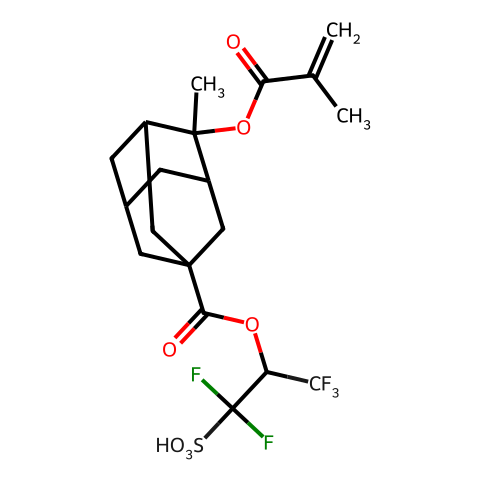 C=C(C)C(=O)OC1(C)C2CC3CC1CC(C(=O)OC(C(F)(F)F)C(F)(F)S(=O)(=O)O)(C3)C2